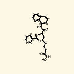 O=C(CCCCCC(NC(=O)c1cccnc1)C(=O)Nc1cccc2cccnc12)NO